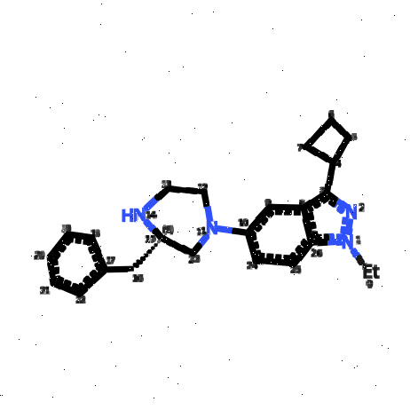 CCn1nc(C2CCC2)c2cc(N3CCN[C@@H](Cc4ccccc4)C3)ccc21